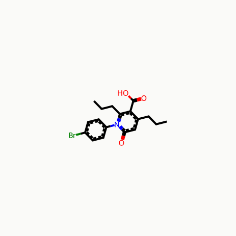 CCCc1cc(=O)n(-c2ccc(Br)cc2)c(CCC)c1C(=O)O